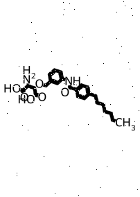 CCCCCCCc1ccc(C(=O)Nc2cccc(CO[C@H](C(=O)O)[C@H](N)C(=O)O)c2)cc1